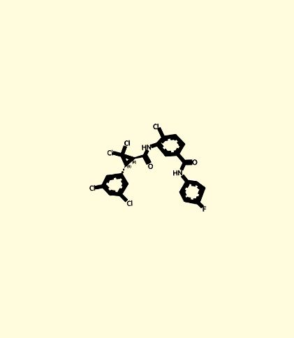 O=C(Nc1ccc(F)cc1)c1ccc(Cl)c(NC(=O)[C@H]2[C@H](c3cc(Cl)cc(Cl)c3)C2(Cl)Cl)c1